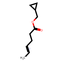 C/C=C/CCC(=O)OCC1CC1